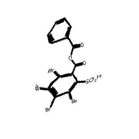 O=C(OC(=O)c1c(Br)c(Br)c(Br)c(Br)c1S(=O)(=O)O)c1ccccc1